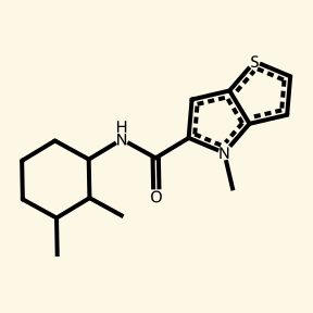 CC1CCCC(NC(=O)c2cc3sccc3n2C)C1C